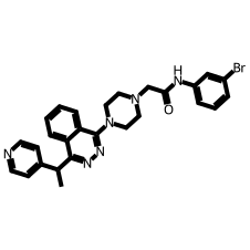 CC(c1ccncc1)c1nnc(N2CCN(CC(=O)Nc3cccc(Br)c3)CC2)c2ccccc12